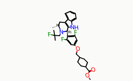 COC(=O)C1CCC(COc2cc(F)c([C@@H]3c4[nH]c5ccccc5c4C[C@@H](C)N3CC(C)(C)F)c(F)c2)CC1